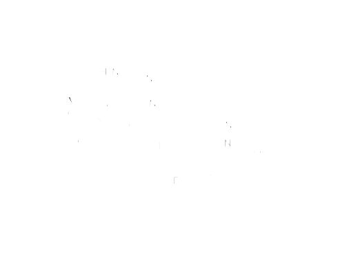 CSc1c(F)c(Cl)c(-c2ccc3nc(N)c(C(=O)O[C@@H]4COC[C@H]4C)n3c2)c2cnn(C3CCCCO3)c12